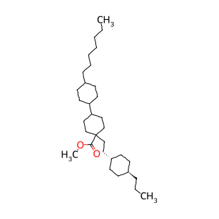 CCCCCCCC1CCC(C2CCC(CC[C@H]3CC[C@H](CCC)CC3)(C(=O)OC)CC2)CC1